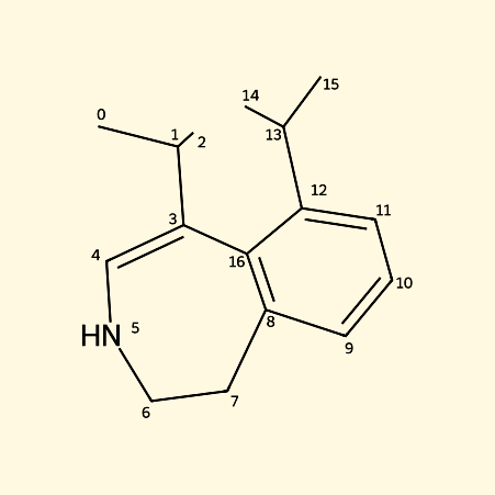 CC(C)C1=CNCCc2cccc(C(C)C)c21